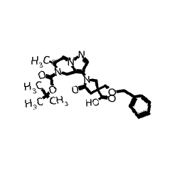 C[C@H]1Cn2ncc(N3CC(COCc4ccccc4)(C(=O)O)CC3=O)c2CN1C(=O)OC(C)(C)C